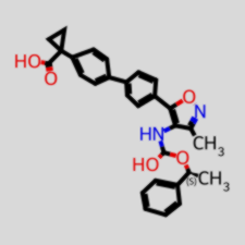 Cc1noc(-c2ccc(-c3ccc(C4(C(=O)O)CC4)cc3)cc2)c1NC(O)O[C@@H](C)c1ccccc1